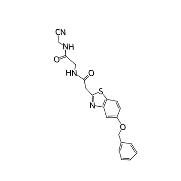 N#CCNC(=O)CNC(=O)Cc1nc2cc(OCc3ccccc3)ccc2s1